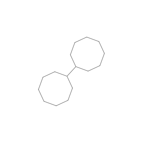 C1CCCC(C2CCCCCCC2)CCC1